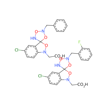 O=C(O)CN1OC2(NON(Cc3ccccc3)O2)c2cc(Cl)ccc21.O=C(O)CN1OC2(NON(Cc3ccccc3F)O2)c2cc(Cl)ccc21